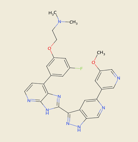 COc1cncc(-c2cc3c(-c4nc5c(-c6cc(F)cc(OCCN(C)C)c6)ccnc5[nH]4)n[nH]c3cn2)c1